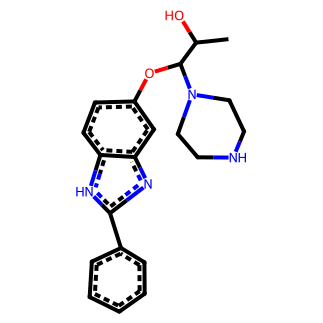 CC(O)C(Oc1ccc2[nH]c(-c3ccccc3)nc2c1)N1CCNCC1